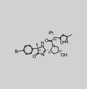 Cc1cc([C@H](C(=O)N2C[C@H](O)C[C@@H]2C2=NC(=O)[C@](C)(c3ccc(Br)cc3)N2)C(C)C)on1